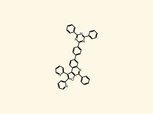 c1ccc(-c2nc(-c3ccccc3)nc(-c3ccc(-c4ccc5c(c4)nc(-c4ccccc4)c4oc(-c6ccccn6)c(-c6ccccn6)c45)cc3)n2)cc1